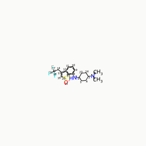 CN(C)C1CCC(Nc2cccc3c(CC(F)(F)F)c[s+]([O-])c23)CC1